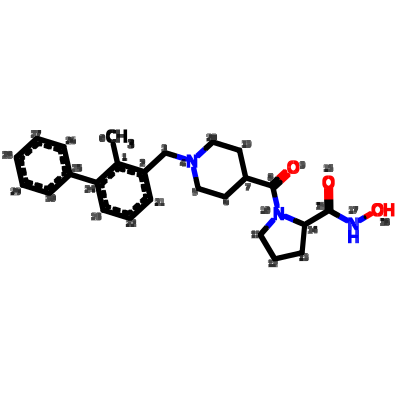 Cc1c(CN2CCC(C(=O)N3CCCC3C(=O)NO)CC2)cccc1-c1ccccc1